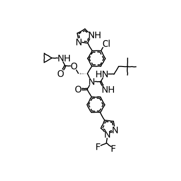 CC(C)(C)CCNC(=N)N(C(=O)c1ccc(-c2cnn(C(F)F)c2)cc1)[C@H](COC(=O)NC1CC1)c1ccc(Cl)c(-c2ncc[nH]2)c1